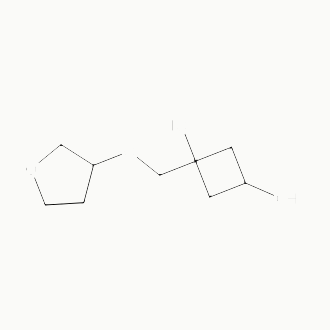 CC1CC(O)(COC2CCOC2)C1